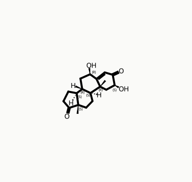 C[C@]12C[C@H](O)C(=O)C=C1[C@H](O)C[C@@H]1[C@@H]2CC[C@]2(C)C(=O)CC[C@@H]12